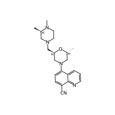 C[C@@H]1CN(c2ccc(C#N)c3ncccc23)C[C@@H](CN2CCN(C)[C@H](C)C2)O1